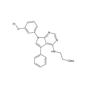 CCOc1cccc(-n2cc(-c3ccccc3)c3c(NCCOC)ncnc32)c1